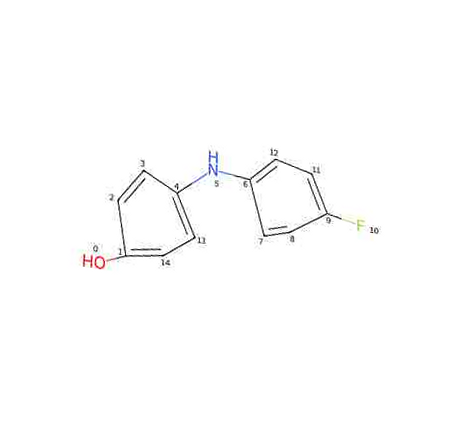 Oc1ccc(Nc2ccc(F)cc2)cc1